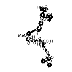 COc1ccc(C#CCNC2(C)CCN(C3CCN(c4nc([C@@](CO)(OC5CC5)c5ccccc5)c5cc(-c6cn(C)c(=O)c7[nH]ccc67)ccc5n4)CC3)CC2)cc1N1CCC(=O)N(CNC(=O)CNC(=O)[C@H](CC(=O)O)NC(=O)CCOCCOCCN2C(=O)C(Sc3ccccc3)=C(Sc3ccccc3)C2=O)C1=O